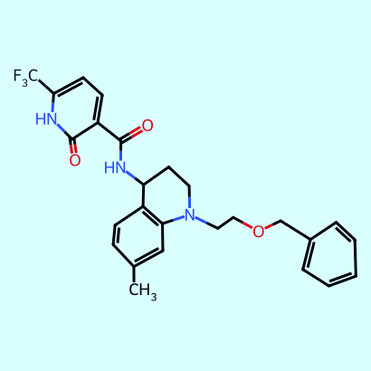 Cc1ccc2c(c1)N(CCOCc1ccccc1)CCC2NC(=O)c1ccc(C(F)(F)F)[nH]c1=O